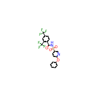 O=C(NS(=O)(=O)c1ccc(Oc2ccccc2)nc1)c1ccc(C(F)(F)F)cc1C(F)(F)F